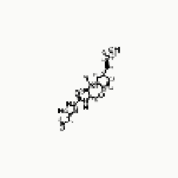 CC(C)Cc1nc(C(=O)NC2COc3ccc(C#CC(C)(C)O)cc3N(C)C2=O)n[nH]1